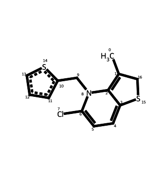 CC1=C2C(=CC=C(Cl)N2Cc2cccs2)SC1